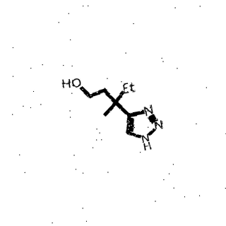 CCC(C)(CCO)c1c[nH]nn1